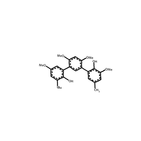 COc1cc(-c2cc(-c3cc(C)cc(OC)c3O)c(OC)cc2OC)c(O)c(C(C)(C)C)c1